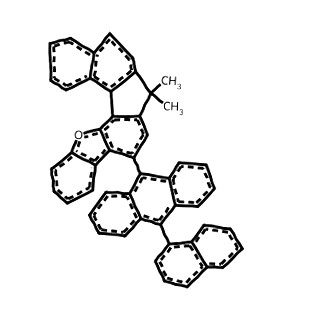 CC1(C)c2ccc3ccccc3c2-c2c1cc(-c1c3ccccc3c(-c3cccc4ccccc34)c3ccccc13)c1c2oc2ccccc21